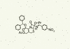 CC(=O)OCC1=C(C(=O)OC(c2ccccc2)c2ccccc2)N2C(=O)[C@@](N=Cc3ccc([N+](=O)[O-])cc3)(OC(C)C)[C@H]2SC1